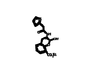 CCOC(=O)c1cccc2c1OB(O)[C@@H](NC(=O)Cc1cccs1)C2